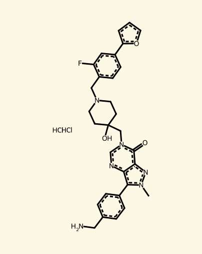 Cl.Cl.Cn1nc2c(=O)n(CC3(O)CCN(Cc4ccc(-c5ccco5)cc4F)CC3)cnc2c1-c1ccc(CN)cc1